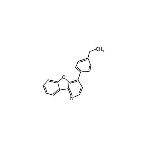 CCc1ccc(-c2ccnc3c2oc2ccccc23)cc1